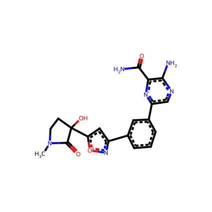 CN1CCC(O)(c2cc(-c3cccc(-c4cnc(N)c(C(N)=O)n4)c3)no2)C1=O